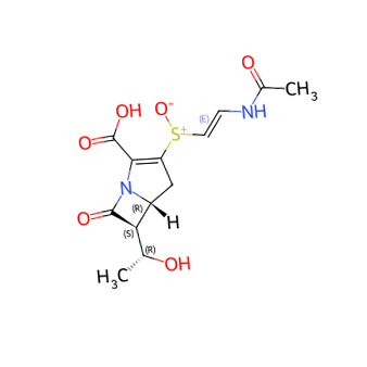 CC(=O)N/C=C/[S+]([O-])C1=C(C(=O)O)N2C(=O)[C@H]([C@@H](C)O)[C@H]2C1